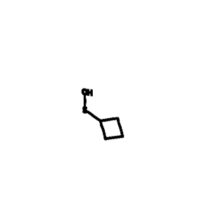 OSC1CCC1